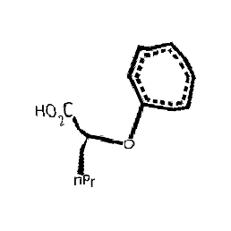 CCC[C@H](Oc1ccccc1)C(=O)O